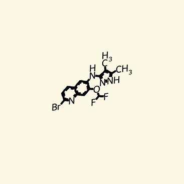 Cc1[nH]nc(Nc2cc3ccc(Br)nc3cc2OC(F)F)c1C